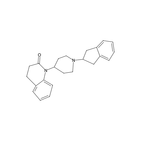 O=C1CCc2ccccc2N1C1CCN(C2Cc3ccccc3C2)CC1